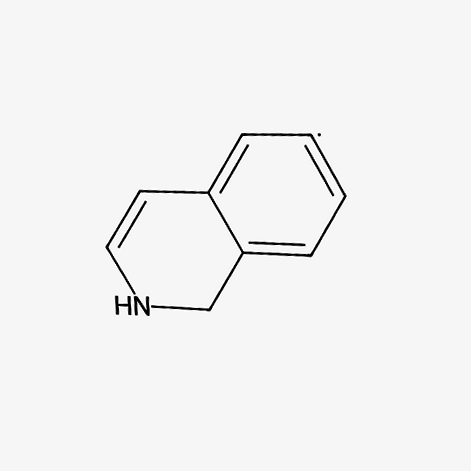 [c]1ccc2c(c1)C=CNC2